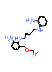 COCOCc1cccc(N)c1NC/C=C/CNc1ccccc1N